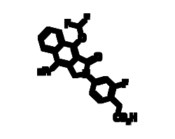 CCCc1c2c(c(OC(F)F)c3ccccc13)C(=O)N(c1ccc(CC(=O)O)c(F)c1)C2